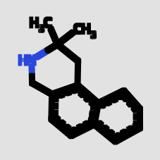 CC1(C)Cc2c(ccc3ccccc23)CN1